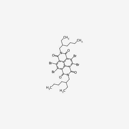 CCCCC(CC)CN1C(=O)c2c(Br)c(Br)c3c4c(c(Br)c(Br)c(c24)C1=O)C(=O)N(CC(CC)CCCC)C3=O